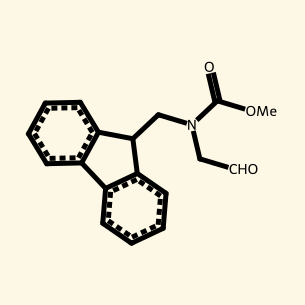 COC(=O)N(CC=O)CC1c2ccccc2-c2ccccc21